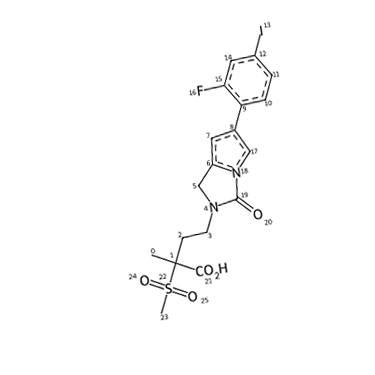 CC(CCN1Cc2cc(-c3ccc(I)cc3F)cn2C1=O)(C(=O)O)S(C)(=O)=O